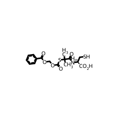 CC(C)(SC(=O)OCOC(=O)c1ccccc1)C(=O)N[C@@H](CS)C(=O)O